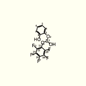 OB(Oc1ccccc1O)Oc1c(F)c(F)c(F)c(F)c1F